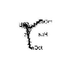 CCCCCCCC/C=C\CCCCCCCC(=O)OC[C@H](COP(=O)(O)O)OC(=O)CCCCCCC/C=C\CCCCCCCC.[NaH]